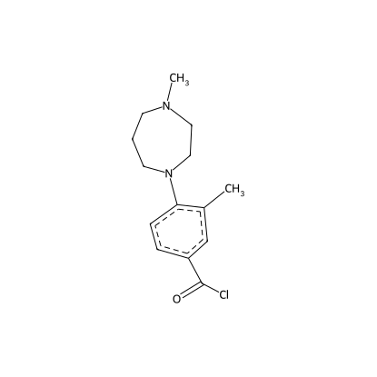 Cc1cc(C(=O)Cl)ccc1N1CCCN(C)CC1